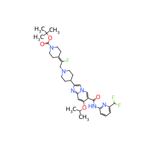 CC(C)Oc1cc2nc(C3CCN(CC(F)=C4CCN(C(=O)OC(C)(C)C)CC4)CC3)cn2cc1C(=O)Nc1cccc(C(F)F)n1